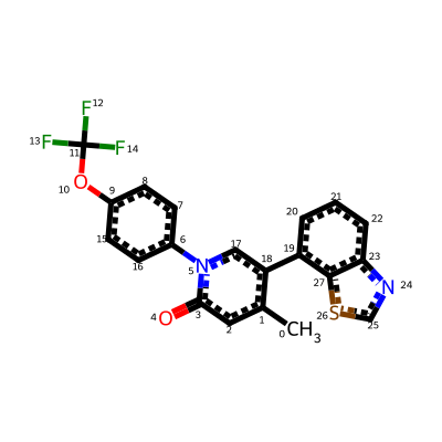 Cc1cc(=O)n(-c2ccc(OC(F)(F)F)cc2)cc1-c1cccc2ncsc12